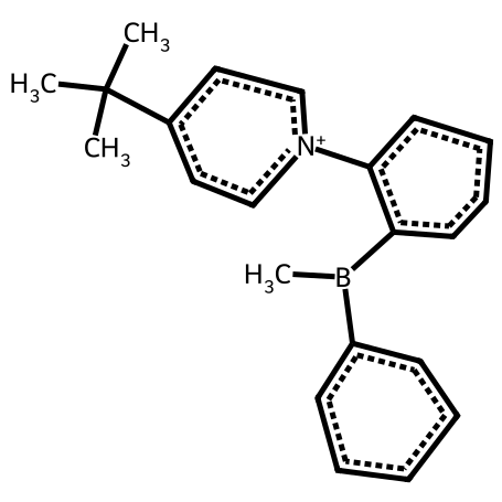 CB(c1ccccc1)c1ccccc1-[n+]1ccc(C(C)(C)C)cc1